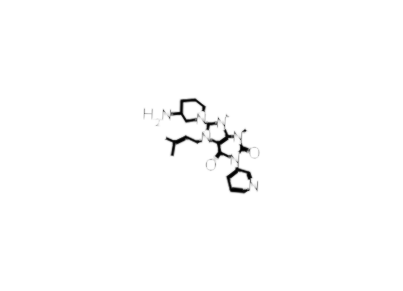 CC(C)=CCN1c2c(n(C)c(=O)n(-c3cccnc3)c2=O)N(C)C1N1CCCC(N)C1